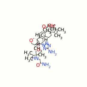 CC(C)C(C)[C@@]1(C)CC[C@]2(C)[C@H]3CC[C@@H]4[C@@]5(COC[C@]4(C)[C@@H](OC[C@](C)(NCC(N)=O)C(C)C)[C@H](n4nnc(N)n4)C5)C3=CC[C@@]2(C)[C@@H]1C(=O)O